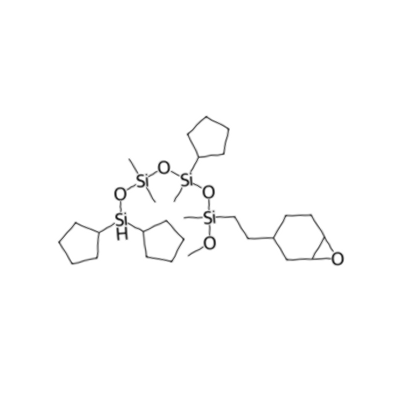 CO[Si](C)(CCC1CCC2OC2C1)O[Si](C)(O[Si](C)(C)O[SiH](C1CCCC1)C1CCCC1)C1CCCC1